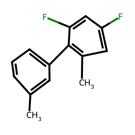 Cc1cccc(-c2c(C)cc(F)cc2F)c1